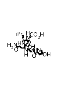 CC(C)CC[C@@H](NC(=O)[C@@H](CCC(N)=O)NC(=O)CNC(=O)[C@@H]1C[C@@H](O)CN1)C(=O)NCC(=O)O